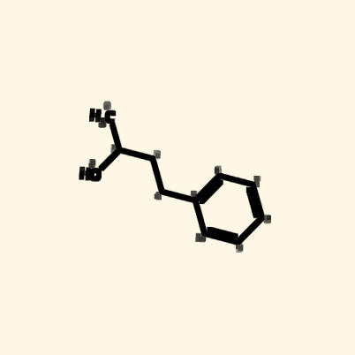 CC(O)CCc1c[c]ccc1